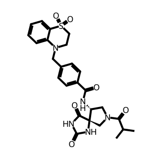 CC(C)C(=O)N1C[C@@H](NC(=O)c2ccc(CN3CCS(=O)(=O)c4ccccc43)cc2)[C@]2(C1)NC(=O)NC2=O